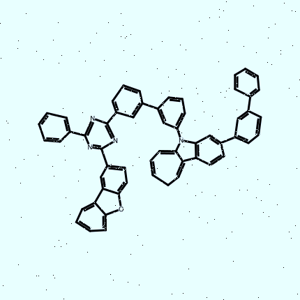 C1=CCC=c2c(n(-c3cccc(-c4cccc(-c5nc(-c6ccccc6)nc(-c6ccc7oc8ccccc8c7c6)n5)c4)c3)c3cc(-c4cccc(-c5ccccc5)c4)ccc23)=C1